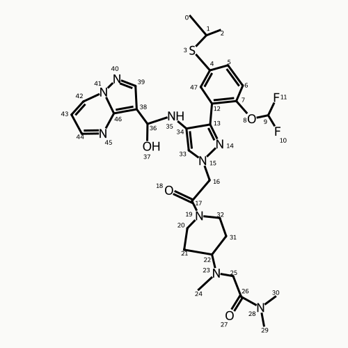 CC(C)Sc1ccc(OC(F)F)c(-c2nn(CC(=O)N3CCC(N(C)CC(=O)N(C)C)CC3)cc2NC(O)c2cnn3cccnc23)c1